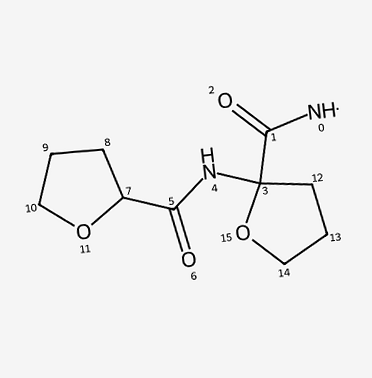 [NH]C(=O)C1(NC(=O)C2CCCO2)CCCO1